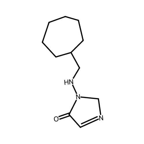 O=C1C=NCN1NCC1CCCCCC1